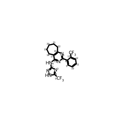 FC(F)(F)c1nc(Nc2nc(-c3ccccc3C(F)(F)F)nc3c2CCCCC3)n[nH]1